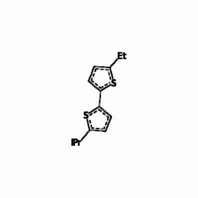 CCc1ccc(-c2ccc(C(C)C)s2)s1